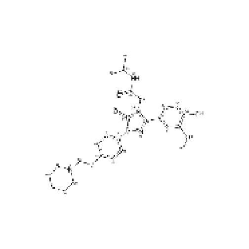 COc1cc(-c2nn(-c3ccc(CCN4CCCCC4)cc3)c(=O)n2CC(=O)NC(C)C)ccc1F